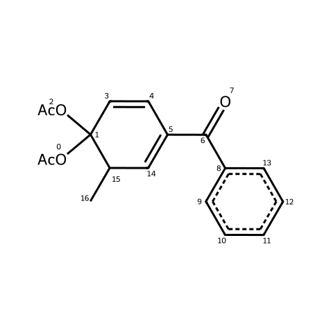 CC(=O)OC1(OC(C)=O)C=CC(C(=O)c2ccccc2)=CC1C